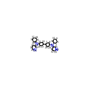 c1ccc(N(c2ccc(-c3ccc(N(c4ccccc4)c4cccnc4)cc3)cc2)c2cccnc2)cc1